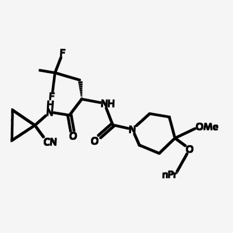 CCCOC1(OC)CCN(C(=O)N[C@@H](CC(C)(F)F)C(=O)NC2(C#N)CC2)CC1